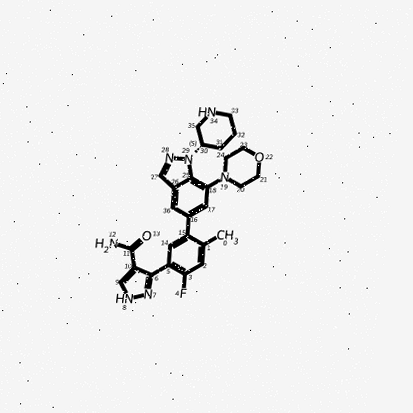 Cc1cc(F)c(-c2n[nH]cc2C(N)=O)cc1-c1cc(N2CCOCC2)c2c(cnn2[C@H]2CCCNC2)c1